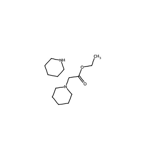 C1CCNCC1.CCOC(=O)CN1CCCCC1